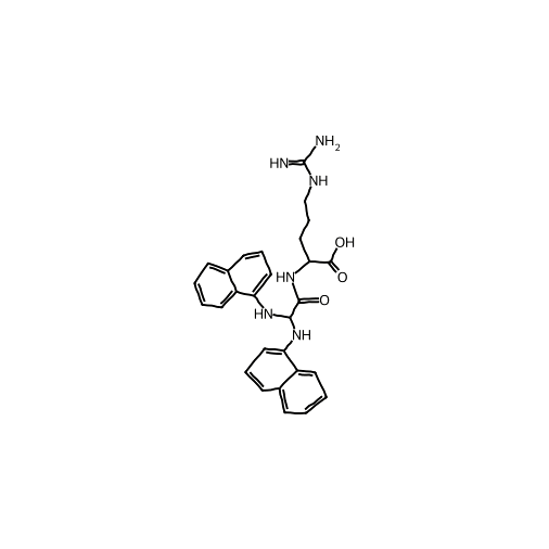 N=C(N)NCCCC(NC(=O)C(Nc1cccc2ccccc12)Nc1cccc2ccccc12)C(=O)O